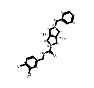 O=C(NCc1ccc(Cl)c(Cl)c1)N1C[C@H]2CN(Cc3ccccc3)C[C@H]2C1